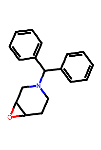 c1ccc(C(c2ccccc2)N2CCC3OC3C2)cc1